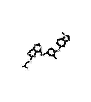 Cc1cc(Nc2ncnc3cnc(OCC(F)F)nc23)ccc1Oc1ccc2c(c1)ncn2C